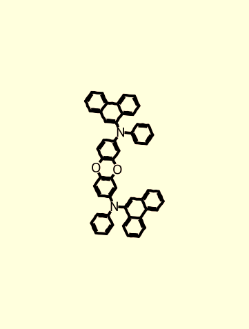 c1ccc(N(c2ccc3c(c2)Oc2cc(N(c4ccccc4)c4cc5ccccc5c5ccccc45)ccc2O3)c2cc3ccccc3c3ccccc23)cc1